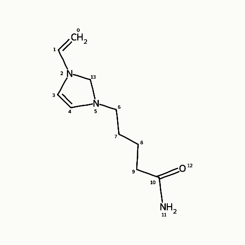 C=CN1C=CN(CCCCC(N)=O)C1